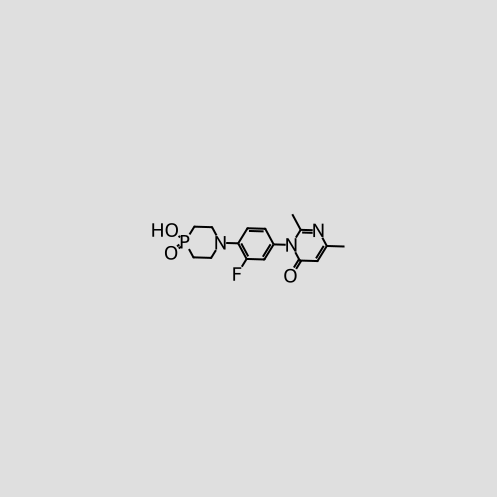 Cc1cc(=O)n(-c2ccc(N3CCP(=O)(O)CC3)c(F)c2)c(C)n1